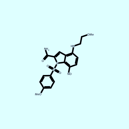 COCCNc1ccc(N=O)c2c1cc(C(N)=O)n2S(=O)(=O)c1ccc(OC)cc1